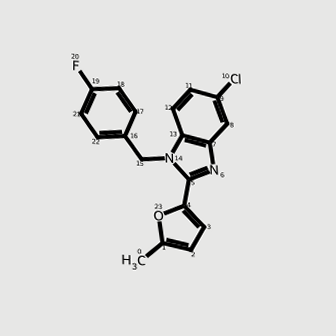 Cc1ccc(-c2nc3cc(Cl)ccc3n2Cc2ccc(F)cc2)o1